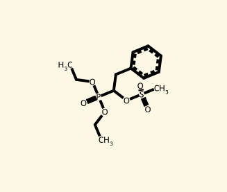 CCOP(=O)(OCC)C(Cc1ccccc1)OS(C)(=O)=O